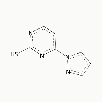 Sc1nccc(-n2cccn2)n1